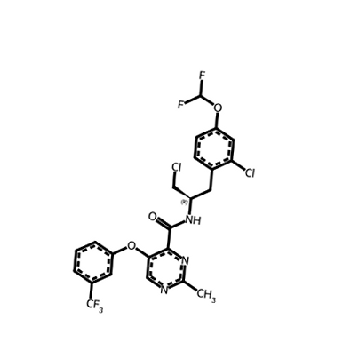 Cc1ncc(Oc2cccc(C(F)(F)F)c2)c(C(=O)N[C@@H](CCl)Cc2ccc(OC(F)F)cc2Cl)n1